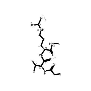 CCC(=O)N[C@H](C(=O)N[C@@H](CCCNC(N)O)C(=O)NC)C(C)C